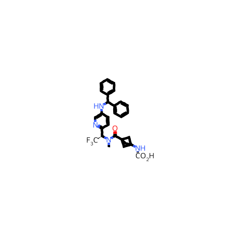 CN(C(=O)C12CC(NC(=O)O)(C1)C2)[C@@H](c1ccc(NC(c2ccccc2)c2ccccc2)cn1)C(F)(F)F